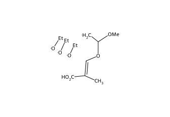 [CH2]C(OC)OC=C(C)C(=O)O.[CH2]C[O].[CH2]C[O].[CH2]C[O]